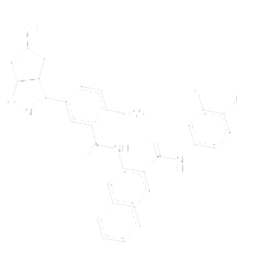 COc1ccc(C2=NOC3CC(O)CC23)cc1C(=O)Nc1cc2ccccc2cc1C(=O)Nc1ccc(F)c(C(F)(F)F)c1